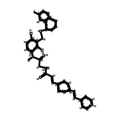 Cc1ccc2cccc(OCc3c(Cl)ccc(N(C)C(=O)CNC(=O)C=Cc4ccc(/C=C/c5ccncc5)cc4)c3Cl)c2n1